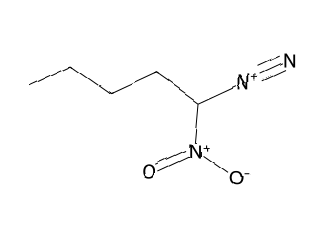 CCCCC([N+]#N)[N+](=O)[O-]